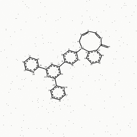 C=C1/C=C\C=C/CN(c2ccc(-c3cc(-c4ccccn4)nc(-c4ccccn4)c3)cc2)c2ccccc21